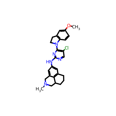 COc1ccc2c(c1)CCN2c1nc(Nc2cc3c4c(c2)CN(C)CC4CCC3)ncc1Cl